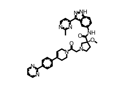 CO[C@@]1(C(=O)Nc2ccc3[nH]nc(-c4ccnc(C)n4)c3c2)CCN(CC(=O)N2CC=C(c3ccc(-c4ncccn4)cc3)CC2)C1